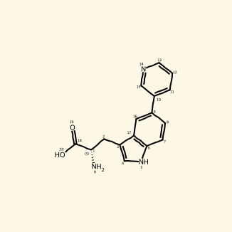 N[C@@H](Cc1c[nH]c2ccc(-c3cccnc3)cc12)C(=O)O